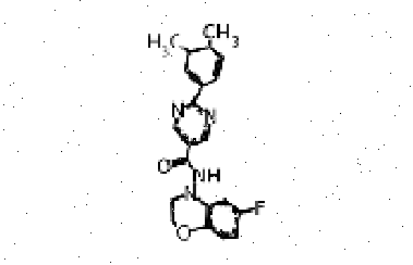 CC1C=CC(c2ncc(C(=O)NN3CCOc4ccc(F)cc43)cn2)=CC1C